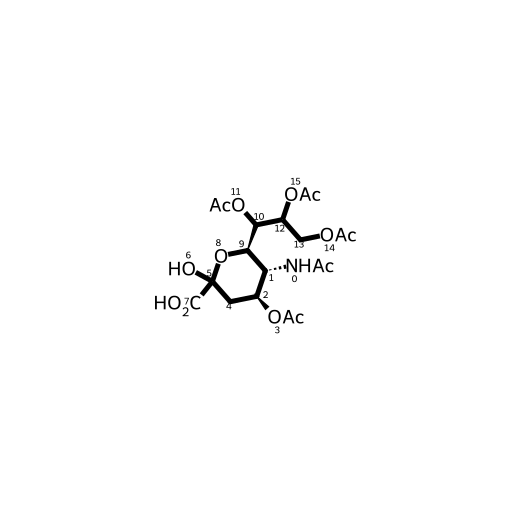 CC(=O)N[C@@H]1[C@@H](OC(C)=O)CC(O)(C(=O)O)O[C@H]1C(OC(C)=O)C(COC(C)=O)OC(C)=O